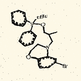 CC(CO[Si](c1ccccc1)(c1ccccc1)C(C)(C)C)CN1CCOc2ccc(Br)cc21